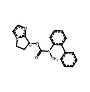 CN(C(=O)O[C@H]1CCn2ccnc21)c1ccccc1-c1ccccc1